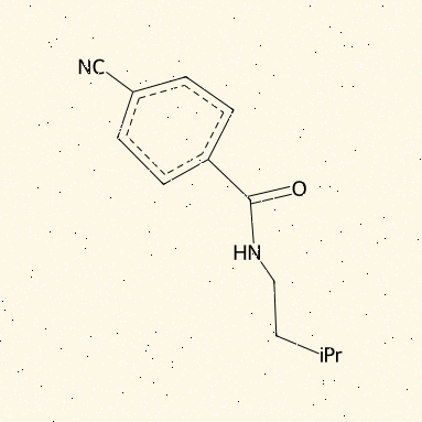 CC(C)CCNC(=O)c1ccc(C#N)cc1